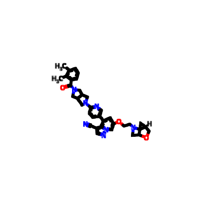 Cc1cccc(C(=O)N2CC3CN(c4ccc(-c5cc(OCCN6CC7OC[C@@H]8CC786)cn6ncc(C#N)c56)cn4)CC3C2)c1C